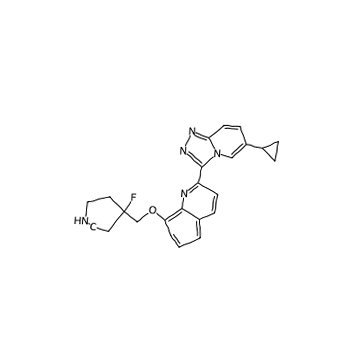 FC1(COc2cccc3ccc(-c4nnc5ccc(C6CC6)cn45)nc23)CCNCC1